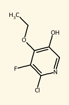 CCOc1c(O)cnc(Cl)c1F